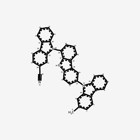 Cc1ccc2c3ccccc3n(-c3ccc4oc5c(-n6c7ccccc7c7ccc(C#N)cc76)cccc5c4c3)c2c1